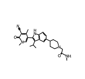 CNC(=O)CN1CCC(c2ccc3[nH]c(-c4cn(C)c(=O)c(C#N)c4C)c(C(C)C)c3c2)CC1